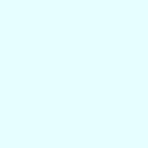 CCCCC/C=C\C/C=C\C/C=C\C/C=C\CCCCC(=O)CCCCl